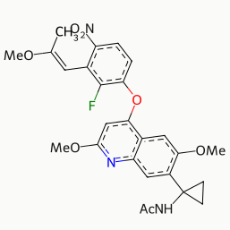 COC(C)=Cc1c([N+](=O)[O-])ccc(Oc2cc(OC)nc3cc(C4(NC(C)=O)CC4)c(OC)cc23)c1F